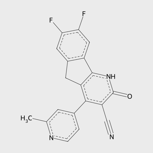 Cc1cc(-c2c3c([nH]c(=O)c2C#N)-c2cc(F)c(F)cc2C3)ccn1